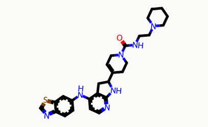 O=C(NCCN1CCCCC1)N1CC=C(C2Cc3c(Nc4ccc5ncsc5c4)ccnc3N2)CC1